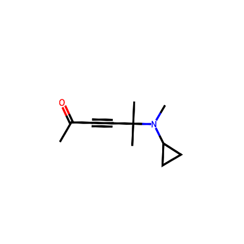 CC(=O)C#CC(C)(C)N(C)C1CC1